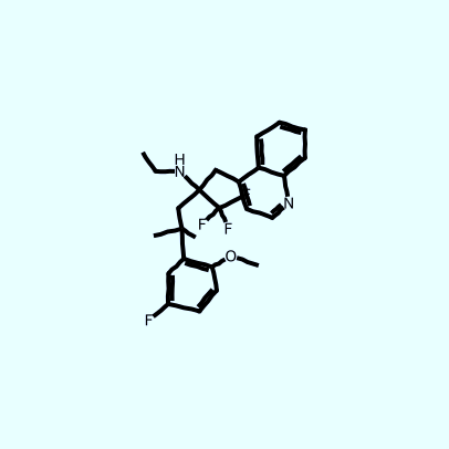 CCNC(Cc1ccnc2ccccc12)(CC(C)(C)c1cc(F)ccc1OC)C(F)(F)F